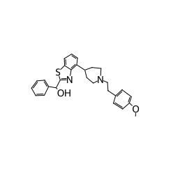 COc1ccc(CCN2CCC(c3cccc4sc(C(O)c5ccccc5)nc34)CC2)cc1